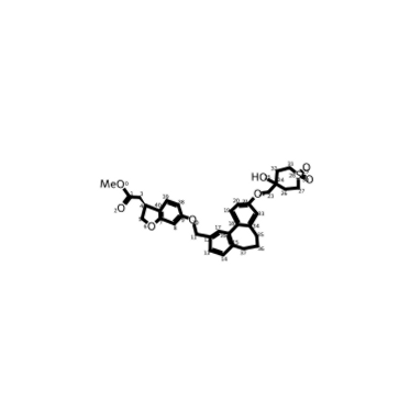 COC(=O)C[C@@H]1COc2cc(OCc3ccc4c(c3)-c3ccc(OCC5(O)CCS(=O)(=O)CC5)cc3CCC4)ccc21